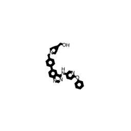 OCC1C2CN(Cc3ccc(-c4ccc5ncnc(Nc6ccc(Oc7ccccc7)nc6)c5c4)cc3)CC12